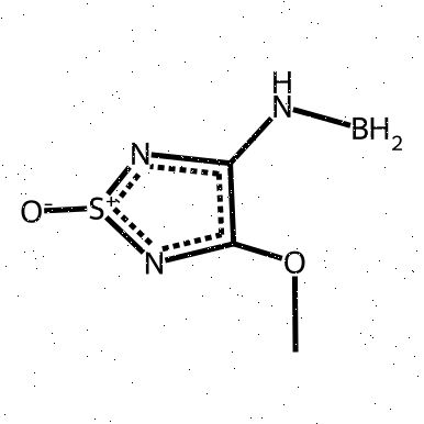 BNc1n[s+]([O-])nc1OC